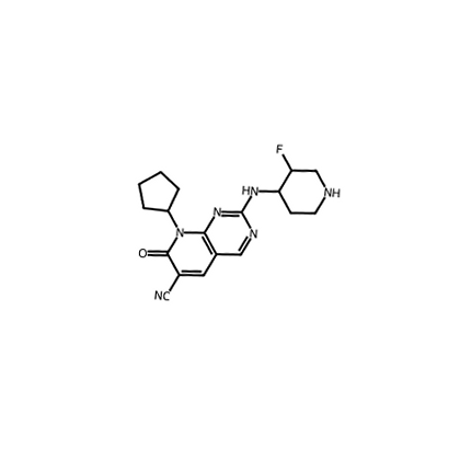 N#Cc1cc2cnc(NC3CCNCC3F)nc2n(C2CCCC2)c1=O